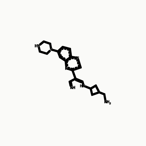 N=C/C(=C\NC1CC(CN)C1)c1cnc2ccc(N3CCNCC3)cc2n1